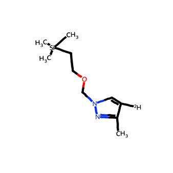 [2H]c1cn(COCC[Si](C)(C)C)nc1C